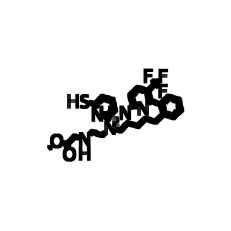 COC(=O)CNCCN(CCCCCc1ccccc1-c1nc(N)ccc1C(F)(F)F)c1cccc(S)n1